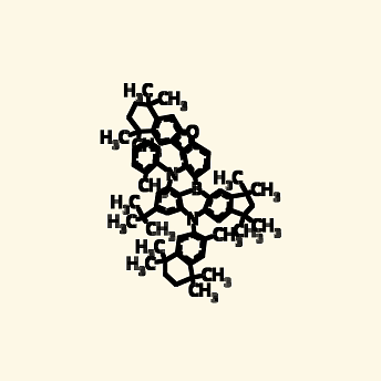 Cc1cc2c(cc1N1c3cc4c(cc3B3c5ccc6oc7cc8c(cc7c6c5N(c5ccccc5C)c5cc(C(C)(C)C)cc1c53)C(C)(C)CCC8(C)C)C(C)(C)CC4(C)C)C(C)(C)CCC2(C)C